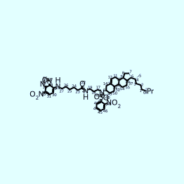 CC(C)CCC[C@@H](C)[C@H]1CCC2C3CC=C4C[C@@H](N(CCCNC(=O)CCCCCNc5ccc([N+](=O)[O-])c6nonc56)S(=O)(=O)c5ccccc5[N+](=O)[O-])CC[C@]4(C)C3CC[C@@]21C